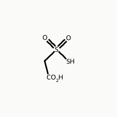 O=C(O)CS(=O)(=O)S